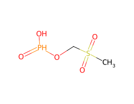 CS(=O)(=O)CO[PH](=O)O